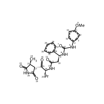 COc1ccc(NC(=O)N[C@@H](CC(=O)N[C@H](C(=O)[C@@H]2C(=O)NC(=O)[C@H]2C)C(C)C)c2ccccc2)cc1